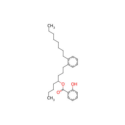 CCCCCCCCc1ccccc1CCCC(CCCC)OC(=O)c1ccccc1O